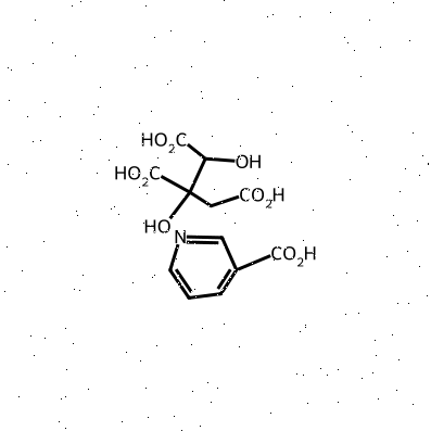 O=C(O)CC(O)(C(=O)O)C(O)C(=O)O.O=C(O)c1cccnc1